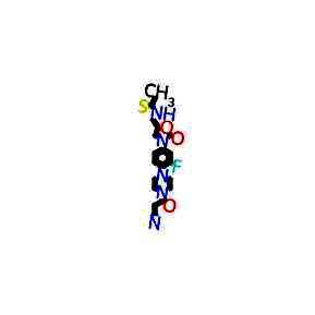 CCC(=S)NCC1CN(c2ccc(N3CCN(C(=O)CC#N)CC3)c(F)c2)C(=O)O1